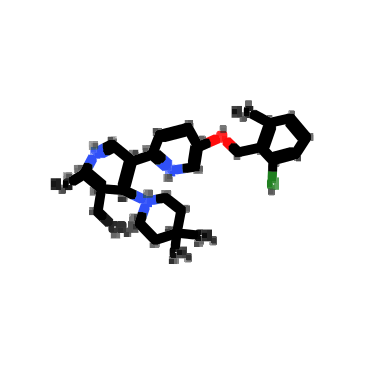 Cc1cccc(Cl)c1COc1ccc(-c2cnc(C)c(CC(=O)O)c2N2CCC(C)(C)CC2)nc1